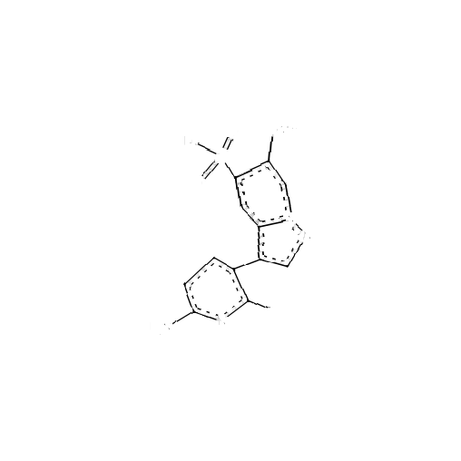 COc1cn2ncc(-c3ccc(N)nc3F)c2cc1S(=O)(=O)C(C)(C)C